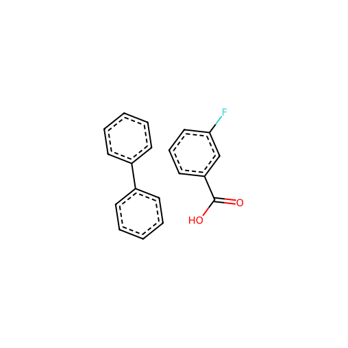 O=C(O)c1cccc(F)c1.c1ccc(-c2ccccc2)cc1